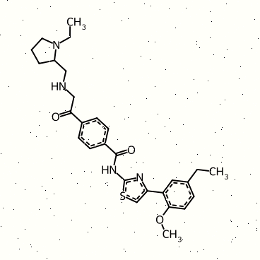 CCc1ccc(OC)c(-c2csc(NC(=O)c3ccc(C(=O)CNCC4CCCN4CC)cc3)n2)c1